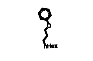 C[CH]CCCCCCCOc1ccccc1